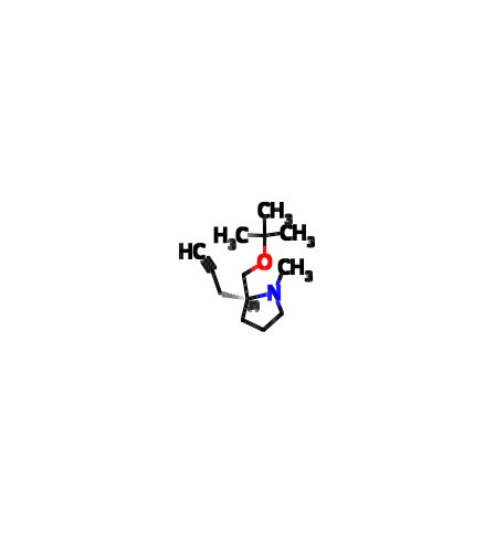 C#CC[C@@]1(COC(C)(C)C)CCCN1C